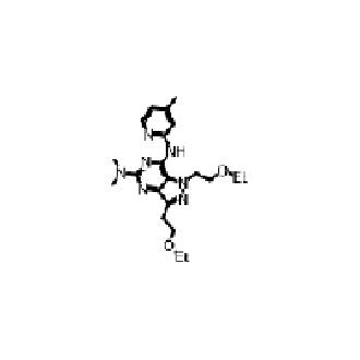 CCOCCc1nn(CCOCC)c2c(Nc3cc(C)ccn3)nc(N(C)C)nc12